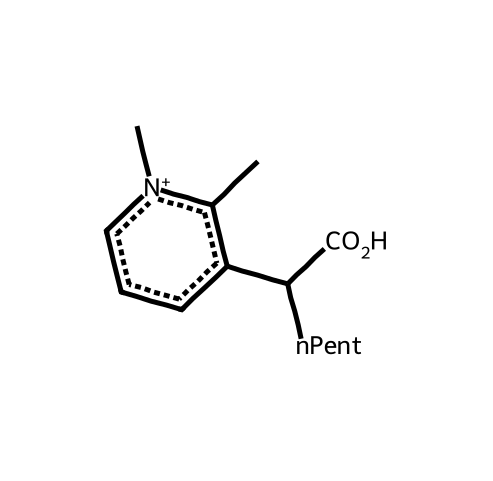 CCCCCC(C(=O)O)c1ccc[n+](C)c1C